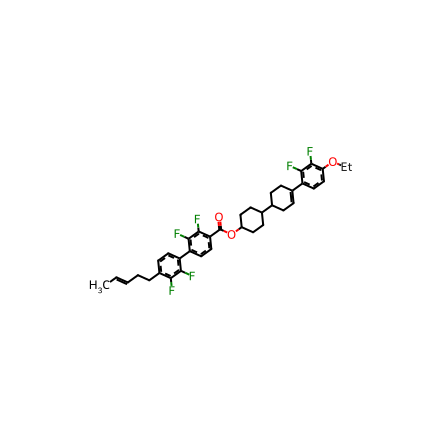 C/C=C/CCc1ccc(-c2ccc(C(=O)OC3CCC(C4CC=C(c5ccc(OCC)c(F)c5F)CC4)CC3)c(F)c2F)c(F)c1F